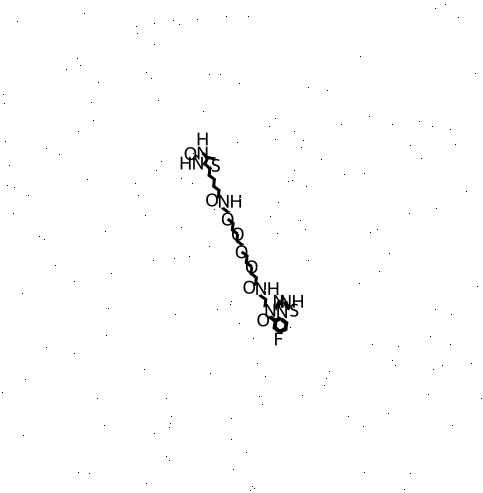 O=C(CCCCC1SCC2NC(=O)NC21)NCCOCCOCCOCCOCCC(=O)NCCCn1c(=O)c2cc(F)ccc2n2c(=S)[nH]nc12